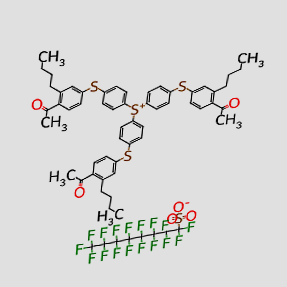 CCCCc1cc(Sc2ccc([S+](c3ccc(Sc4ccc(C(C)=O)c(CCCC)c4)cc3)c3ccc(Sc4ccc(C(C)=O)c(CCCC)c4)cc3)cc2)ccc1C(C)=O.O=S(=O)([O-])C(F)(F)C(F)(F)C(F)(F)C(F)(F)C(F)(F)C(F)(F)C(F)(F)C(F)(F)F